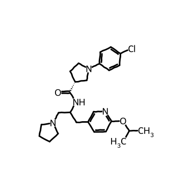 CC(C)Oc1ccc(CC(CN2CCCC2)NC(=O)[C@@H]2CCN(c3ccc(Cl)cc3)C2)cn1